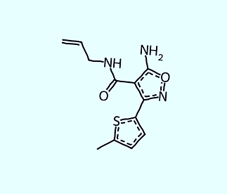 C=CCNC(=O)c1c(-c2ccc(C)s2)noc1N